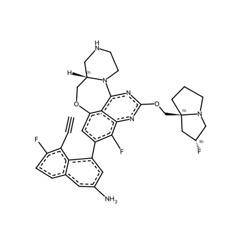 C#Cc1c(F)ccc2cc(N)cc(-c3cc4c5c(nc(OC[C@@]67CCCN6C[C@H](F)C7)nc5c3F)N3CCNC[C@H]3CO4)c12